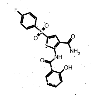 NC(=O)c1cc(S(=O)(=O)c2ccc(F)cc2)sc1NC(=O)c1ccccc1O